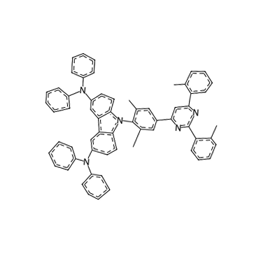 Cc1ccccc1-c1cc(-c2cc(C)c(-n3c4ccc(N(c5ccccc5)c5ccccc5)cc4c4cc(N(c5ccccc5)c5ccccc5)ccc43)c(C)c2)nc(-c2ccccc2C)n1